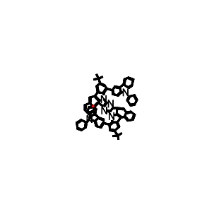 CC(C)(C)c1cc(-c2ccc3c(c2)c2ccccc2n3-c2ccccc2)c2c(c1)c1c3ccccc3cc3c4nc5c(nc4n2c31)c1c2ccccc2cc2c3cc(C(C)(C)C)cc(-c4ccc6c(c4)c4ccccc4n6-c4ccccc4)c3n5c21